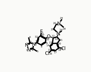 Cc1nnc(C)n1-c1ccc(O[C@@H]2c3cc(Cl)cc(Cl)c3C[C@@H]2N(C)CCN(C)C)c(F)c1